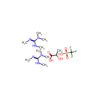 C/N=C(\NC)N(C)C.C/N=C(\NC)N(C)C.CC(O)C(=O)O.O=S(=O)(O)C(F)(F)F